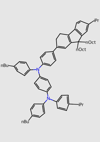 CCCCCCCCC1(CCCCCCCC)C2=C(CCC(c3ccc(N(c4ccc(CCCC)cc4)c4ccc(N(c5ccc(CCCC)cc5)c5ccc(C(C)C)cc5)cc4)cc3)=C2)c2ccc(C(C)C)cc21